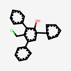 Oc1c(-c2ccccc2)cc(-c2ccccc2)c(CCl)c1-c1ccccc1